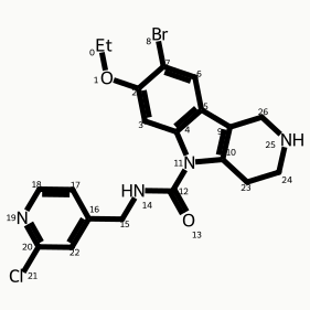 CCOc1cc2c(cc1Br)c1c(n2C(=O)NCc2ccnc(Cl)c2)CCNC1